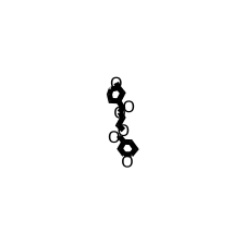 O=C(OCCOC(=O)C1CCC2OC2C1)C1CCC2OC2C1